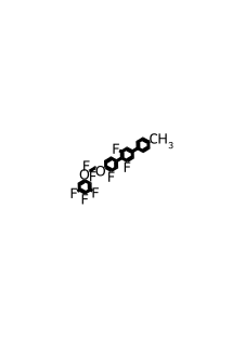 Cc1ccc(-c2cc(F)c(-c3ccc(OCC(F)(F)Oc4cc(F)c(F)c(F)c4)c(F)c3)c(F)c2)cc1